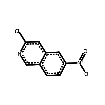 O=[N+]([O-])c1ccc2cnc(Cl)cc2c1